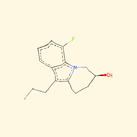 CCCc1c2n(c3c(F)cccc13)C[C@@H](O)CC2